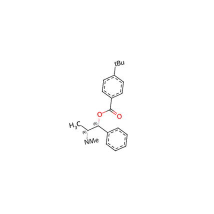 CN[C@H](C)[C@H](OC(=O)c1ccc(C(C)(C)C)cc1)c1ccccc1